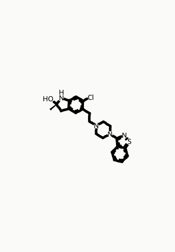 C[C@]1(O)Cc2cc(CCN3CCN(c4nsc5ccccc45)CC3)c(Cl)cc2N1